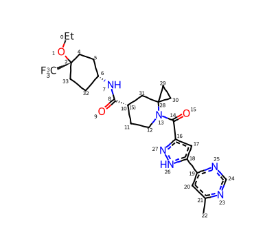 CCO[C@]1(C(F)(F)F)CC[C@H](NC(=O)[C@H]2CCN(C(=O)c3cc(-c4cc(C)ncn4)[nH]n3)C3(CC3)C2)CC1